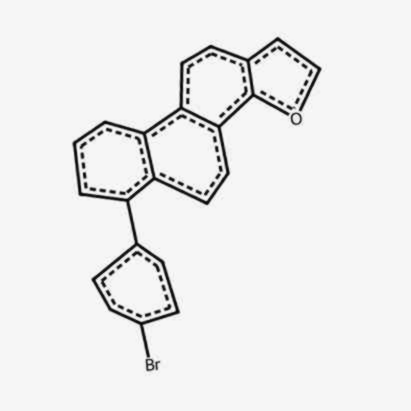 Brc1ccc(-c2cccc3c2ccc2c3ccc3ccoc32)cc1